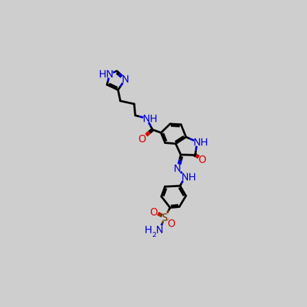 NS(=O)(=O)c1ccc(N/N=C2\C(=O)Nc3ccc(C(=O)NCCCc4c[nH]cn4)cc32)cc1